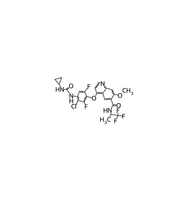 COc1cc2nccc(Oc3c(F)cc(NC(=O)NC4CC4)c(Cl)c3F)c2cc1C(=O)NC(C)C(F)(F)F